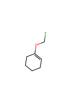 FCOC1=CCCCC1